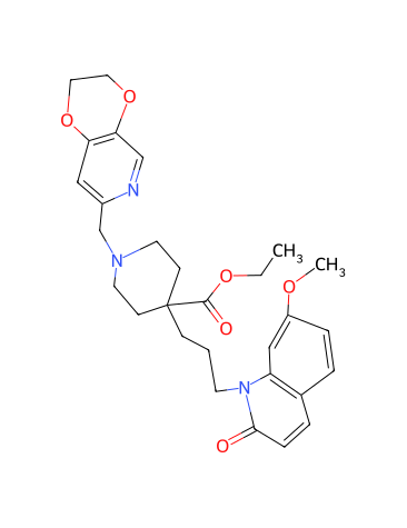 CCOC(=O)C1(CCCn2c(=O)ccc3ccc(OC)cc32)CCN(Cc2cc3c(cn2)OCCO3)CC1